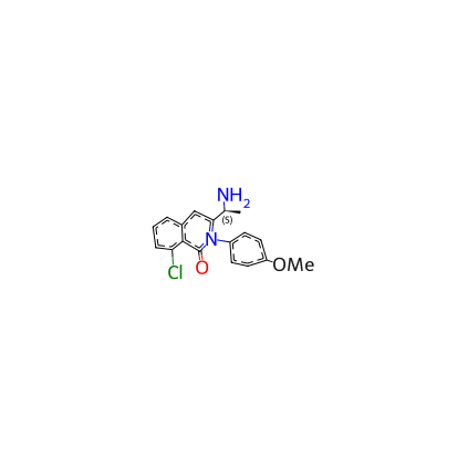 COc1ccc(-n2c([C@H](C)N)cc3cccc(Cl)c3c2=O)cc1